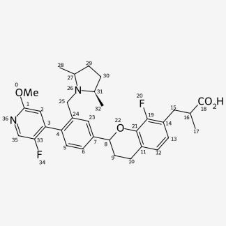 COc1cc(-c2ccc(C3CCc4ccc(CC(C)C(=O)O)c(F)c4O3)cc2CN2C(C)CC[C@H]2C)c(F)cn1